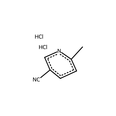 Cc1ccc(C#N)cn1.Cl.Cl